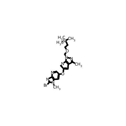 Cc1nn(COCC[Si](C)(C)C)c2ncc(Oc3cnc4nc(Br)n(C)c4c3)cc12